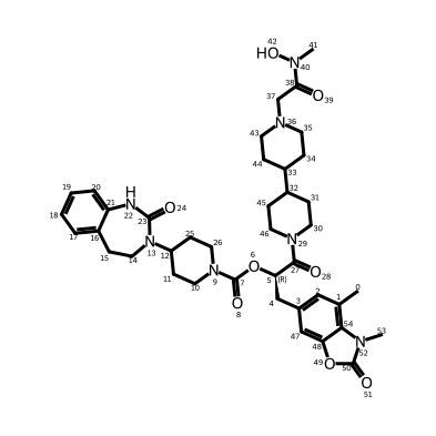 Cc1cc(C[C@@H](OC(=O)N2CCC(N3CCc4ccccc4NC3=O)CC2)C(=O)N2CCC(C3CCN(CC(=O)N(C)O)CC3)CC2)cc2oc(=O)n(C)c12